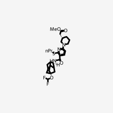 CCCSc1nc(N2CCC[C@@H](CC(=O)OC)C2)ccc1C(=O)N[C@H]1C2CC3CC1C[C@](OC(F)F)(C3)C2